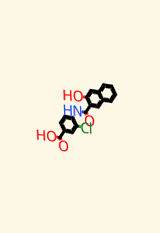 O=C(O)c1ccc(NC(=O)c2cc3ccccc3cc2O)c(Cl)c1